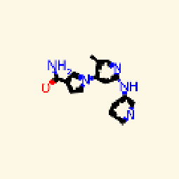 Cc1cnc(Nc2cccnc2)cc1-n1ccc(C(N)=O)c1